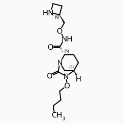 CCCCON1C(=O)N2C[C@@H]1CC[C@H]2C(=O)NOC[C@@H]1CCN1